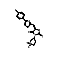 O=C1/C(=C\c2ccc(-c3ccc(Cl)cc3)o2)SC(=S)N1C1CCS(=O)(=O)C1